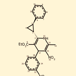 CCOC(=O)C1=C([C@@H]2C[C@H]2c2ccccc2)NC(C)=C([N+](=O)[O-])C1c1cccc([N+](=O)[O-])c1